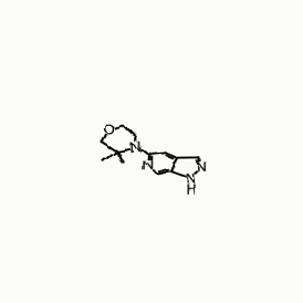 CC1(C)COCCN1c1cc2cn[nH]c2cn1